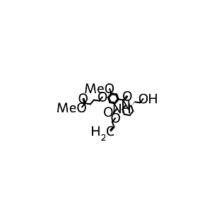 C=CCOC(=O)Nc1cc(OCCCC(=O)OC)c(OC)cc1C(=O)N1CCCC[C@H]1CCO